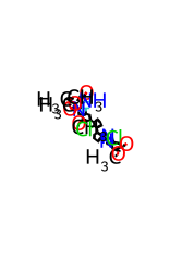 COc1cc(Cn2ncc3c(-c4cccc(-c5cc(F)c(CN(CC6CCC(=O)N6)C(=O)OC(C)(C)C)c(OC)c5)c4Cl)cccc32)c(Cl)cc1C=O